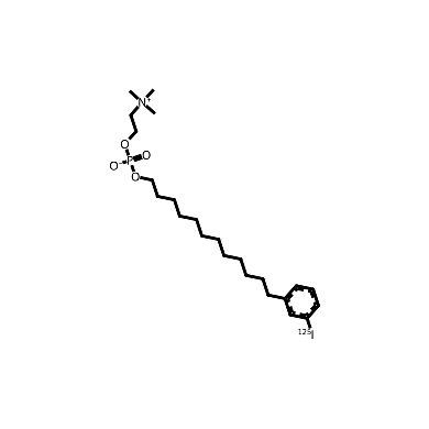 C[N+](C)(C)CCOP(=O)([O-])OCCCCCCCCCCCCc1cccc([125I])c1